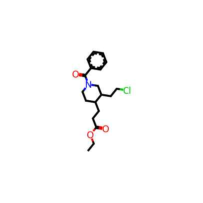 CCOC(=O)CCC1CCN(C(=O)c2ccccc2)CC1CCCl